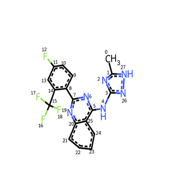 Cc1nc(Nc2nc(-c3ccc(F)cc3C(F)(F)F)nc3ccccc23)n[nH]1